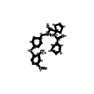 COc1ccc(Oc2ccc(CNC(=O)C3(NC(=O)c4cncnc4)CC=CC3)cc2)c(C(F)(F)F)c1